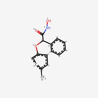 O=C(NO)C(Oc1ccc(C(F)(F)F)cc1)c1ccccc1